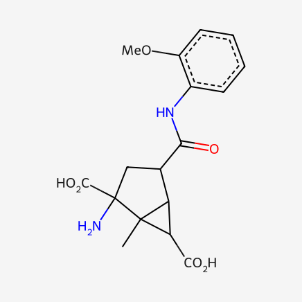 COc1ccccc1NC(=O)C1CC(N)(C(=O)O)C2(C)C(C(=O)O)C12